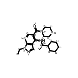 CCn1ncc2c(N[C@H](C)C3CCCCC3)c(C(=O)N3CCSCC3)cnc21